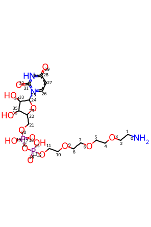 NCCOCCOCCOCCOP(=O)(O)OP(=O)(O)OCC1OC(n2ccc(=O)[nH]c2=O)C(O)C1O